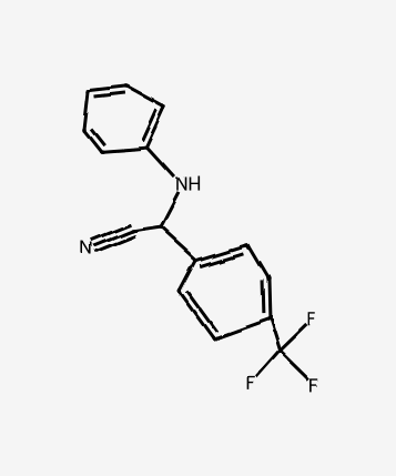 N#CC(Nc1ccccc1)c1ccc(C(F)(F)F)cc1